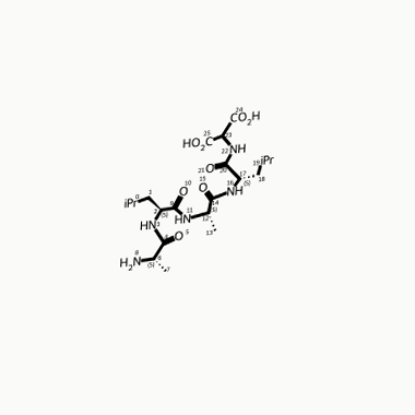 CC(C)C[C@H](NC(=O)[C@H](C)N)C(=O)N[C@@H](C)C(=O)N[C@@H](CC(C)C)C(=O)NC(C(=O)O)C(=O)O